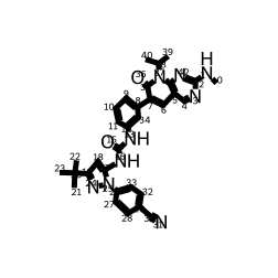 CNc1ncc2cc(-c3cccc(NC(=O)Nc4cc(C(C)(C)C)nn4-c4ccc(C#N)cc4)c3)c(=O)n(C(C)C)c2n1